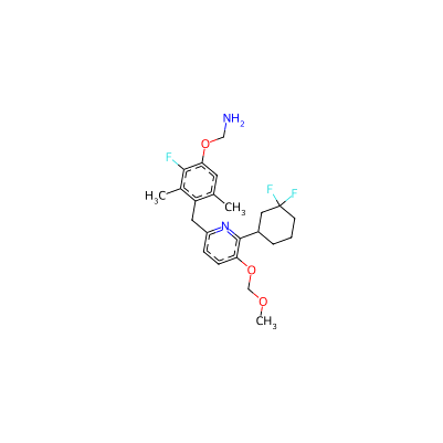 COCOc1ccc(Cc2c(C)cc(OCN)c(F)c2C)nc1C1CCCC(F)(F)C1